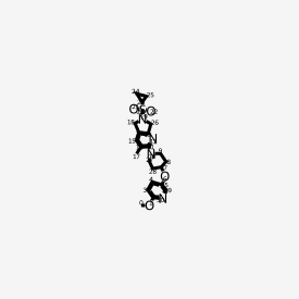 COc1ccc(OC2CCN(c3nc4c(cc3C)CN(S(=O)(=O)C3CC3)C4)CC2)cn1